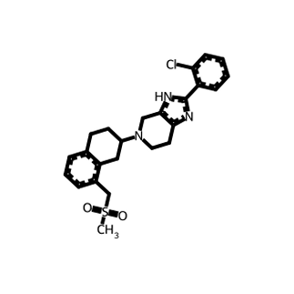 CS(=O)(=O)Cc1cccc2c1CC(N1CCc3nc(-c4ccccc4Cl)[nH]c3C1)CC2